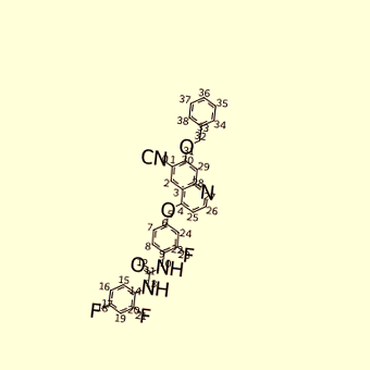 [C-]#[N+]c1cc2c(Oc3ccc(NC(=O)Nc4ccc(F)cc4F)c(F)c3)ccnc2cc1OCc1ccccc1